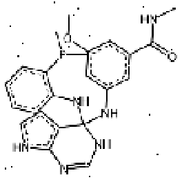 CNC(=O)c1cc(NC2(Nc3ccccc3P(C)C)NC=Nc3[nH]ccc32)cc(OC)c1